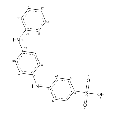 O=S(=O)(O)c1ccc(Nc2ccc(Nc3ccccc3)cc2)cc1